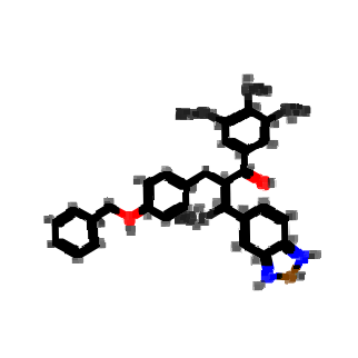 COc1cc(C(=O)/C(Cc2ccc(OCc3ccccc3)cc2)=C(/C(=O)O)c2ccc3nsnc3c2)cc(OC)c1OC